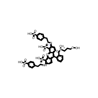 CN(CCCOO)C(=O)c1ccccc1-c1c2cc/c(=N/CCc3ccc(S(=O)(=O)O)cc3)c(S(=O)(=O)O)c-2oc2c(S(=O)(=O)O)c(NCCc3ccc(S(=O)(=O)O)cc3)ccc12